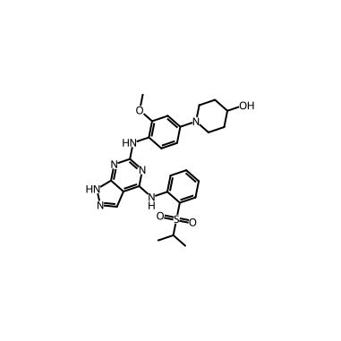 COc1cc(N2CCC(O)CC2)ccc1Nc1nc(Nc2ccccc2S(=O)(=O)C(C)C)c2cn[nH]c2n1